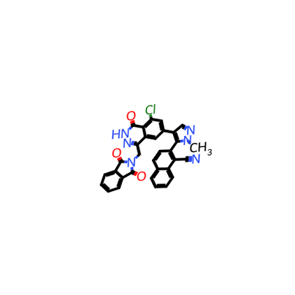 Cn1ncc(-c2cc(Cl)c3c(=O)[nH]nc(CN4C(=O)c5ccccc5C4=O)c3c2)c1-c1ccc2ccccc2c1C#N